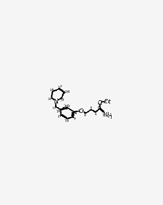 CCOC(=N)CCCOc1cccc(CN2CCCCC2)c1